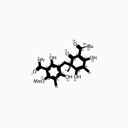 CCCC(=O)c1c(O)c(C[C@]2(C)C(=O)C(C(=O)[C@H](C)CC)=C(O)C(C)=C2O)c(O)c(C)c1OC